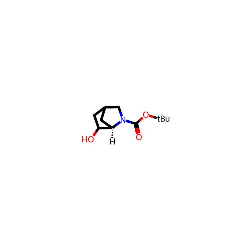 CC(C)(C)OC(=O)N1CC2CC(O)[C@H]1C2